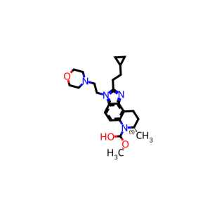 COC(O)N1c2ccc3c(nc(CCC4CC4)n3CCN3CCOCC3)c2CC[C@@H]1C